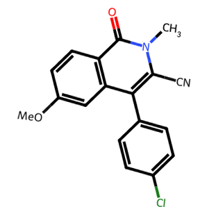 COc1ccc2c(=O)n(C)c(C#N)c(-c3ccc(Cl)cc3)c2c1